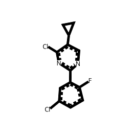 Fc1ccc(Cl)cc1-c1ncc(C2CC2)c(Cl)n1